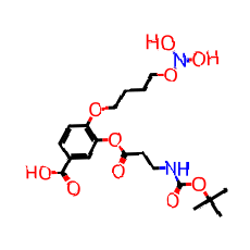 CC(C)(C)OC(=O)NCCC(=O)Oc1cc(C(=O)O)ccc1OCCCCON(O)O